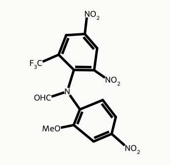 COc1cc([N+](=O)[O-])ccc1N(C=O)c1c([N+](=O)[O-])cc([N+](=O)[O-])cc1C(F)(F)F